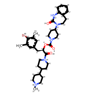 Cc1cc(C[C@@H](OC(=O)N2CCC(N3CCc4ccccc4NC3=O)CC2)C(=O)N2CCC(C3CCN(C)CC3)CC2)cc(C)c1Br